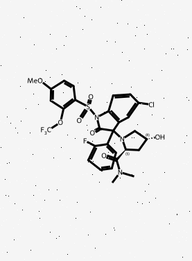 COc1ccc(S(=O)(=O)N2C(=O)C(c3ccccc3F)(N3C[C@H](O)C[C@H]3C(=O)N(C)C)c3cc(Cl)ccc32)c(OC(F)(F)F)c1